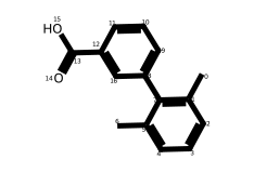 Cc1cccc(C)c1-c1cccc(C(=O)O)c1